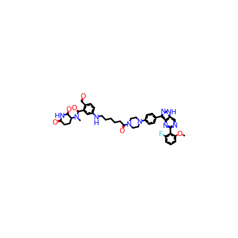 COc1cccc(F)c1-c1ncc2[nH]nc(-c3ccc(N4CCN(C(=O)CCCCCNc5ccc(C=O)c(C(=O)N(C)C6CCC(=O)NC6=O)c5)CC4)cc3)c2n1